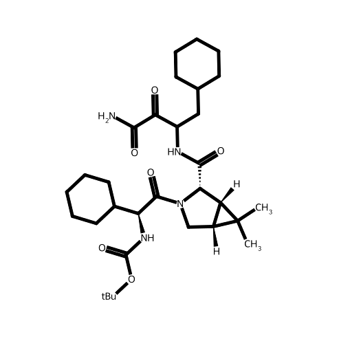 CC(C)(C)OC(=O)N[C@H](C(=O)N1C[C@@H]2[C@H]([C@H]1C(=O)NC(CC1CCCCC1)C(=O)C(N)=O)C2(C)C)C1CCCCC1